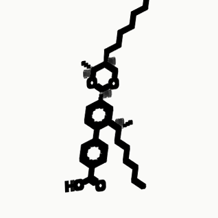 CCCCCCCC[C@H]1CO[C@H](c2ccc(-c3ccc(C(=O)O)cc3)c([C@H](C)CCCCCC)c2)O[C@@H]1C